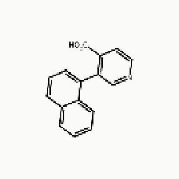 O=C(O)c1ccncc1-c1cccc2ccccc12